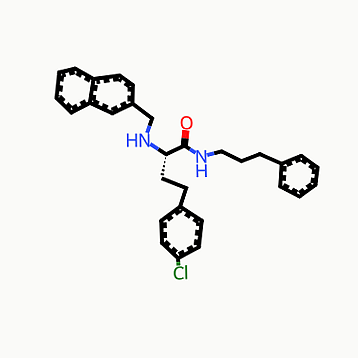 O=C(NCCCc1ccccc1)[C@H](CCc1ccc(Cl)cc1)NCc1ccc2ccccc2c1